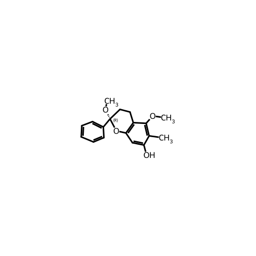 COc1c(C)c(O)cc2c1CC[C@](OC)(c1ccccc1)O2